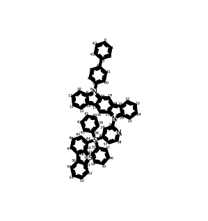 c1ccc(-c2ccc(-n3c4ccccc4c4cc5c(cc43)c3ccccc3n5-c3cc(S(c4ccccc4)(c4ccccc4)c4cccc5c4sc4ccccc45)ccn3)cc2)cc1